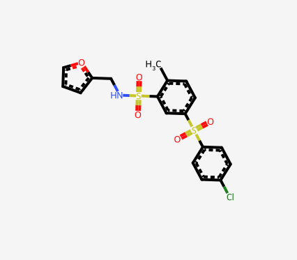 Cc1ccc(S(=O)(=O)c2ccc(Cl)cc2)cc1S(=O)(=O)NCc1ccco1